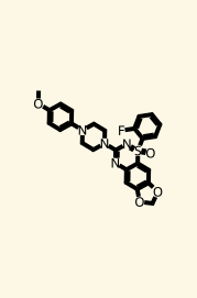 COc1ccc(N2CCN(C3=Nc4cc5c(cc4S(=O)(c4ccccc4F)=N3)OCO5)CC2)cc1